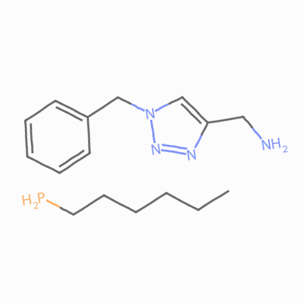 CCCCCCP.NCc1cn(Cc2ccccc2)nn1